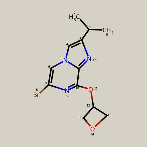 CC(C)c1cn2cc(Br)nc(OC3COC3)c2n1